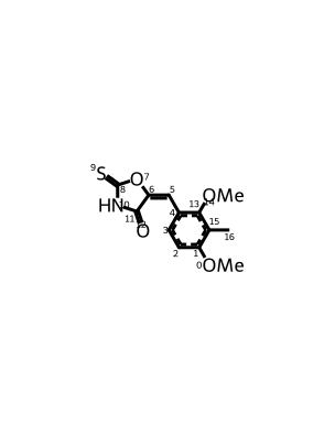 COc1ccc(/C=C2/OC(=S)NC2=O)c(OC)c1C